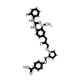 COc1cc(CC(=O)CON2CCC[C@H]2COc2ccc(C(=O)O)cc2)ccc1NC(=O)Nc1ccccc1F